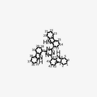 c1ccc2c(c1)[nH]c1c(-c3nc(-c4cccc5c4[nH]c4ccccc45)nc(-c4cccc5c4[nH]c4ccccc45)n3)cccc12